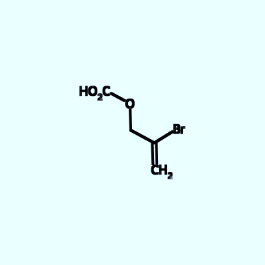 C=C(Br)COC(=O)O